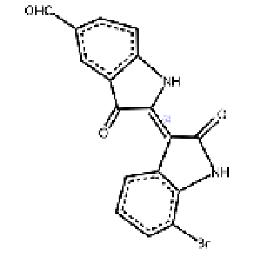 O=Cc1ccc2c(c1)C(=O)/C(=C1/C(=O)Nc3c(Br)cccc31)N2